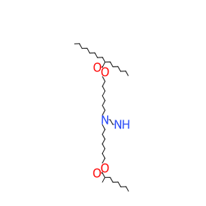 CCCCCCCCC(CCCCCC)C(=O)OCCCCCCCCCN(CCCCCCCCCOC(=O)C(C)CCCCCC)CCNC